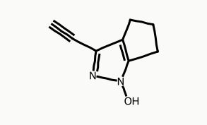 C#Cc1nn(O)c2c1CCC2